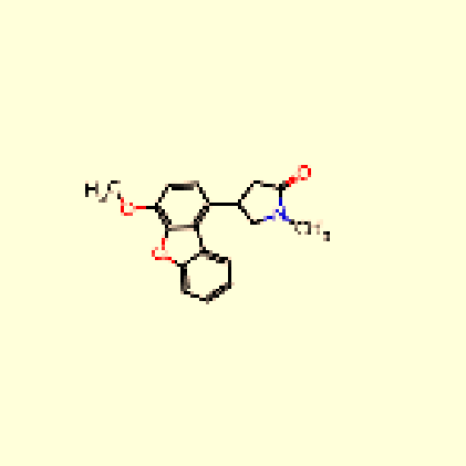 COc1ccc(C2CC(=O)N(C)C2)c2c1oc1ccccc12